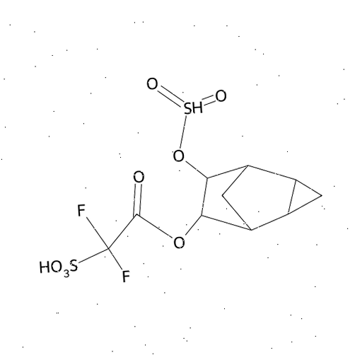 O=C(OC1C2CC(C3CC32)C1O[SH](=O)=O)C(F)(F)S(=O)(=O)O